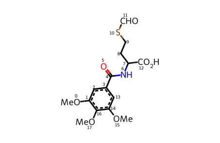 COc1cc(C(=O)NC(CCSC=O)C(=O)O)cc(OC)c1OC